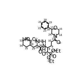 CCOP(=O)(OCC)C(O)C(CCC(=O)N1CCOC(c2ccccc2)C1)NC(=O)C(CC1CCCCC1)NC(=O)O